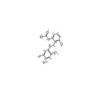 CCC(=O)Oc1cccc(Cl)c1COc1cc(F)c(CC)cc1C(F)(F)F